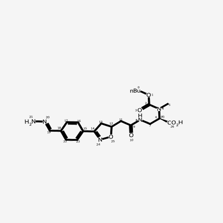 CCCCOC(=O)N(C)[C@H](CNC(=O)CC1CC(c2ccc(C=NN)cc2)=NO1)C(=O)O